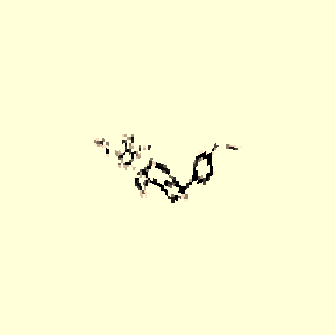 CC(=O)Nc1ccc(-c2nnc3c4ncn([C@@H]5O[C@H](CO)[C@@H](O)[C@H]5O)c4ncn23)cc1